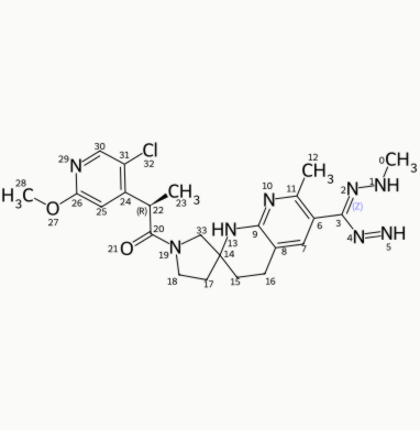 CN/N=C(\N=N)c1cc2c(nc1C)NC1(CC2)CCN(C(=O)[C@H](C)c2cc(OC)ncc2Cl)C1